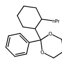 CCCC1CCCCC1C1(c2ccccc2)OCCCO1